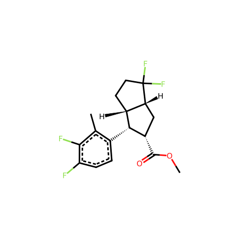 COC(=O)[C@H]1C[C@@H]2[C@@H](CCC2(F)F)[C@H]1c1ccc(F)c(F)c1C